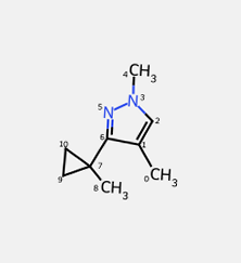 Cc1cn(C)nc1C1(C)CC1